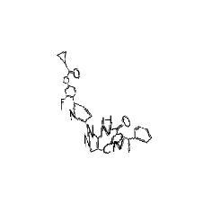 CC(OC(=O)Nc1c(C#N)cnn1-c1ccc(-c2ccc(OC(=O)C3CC3)cc2F)nc1)c1ccccc1